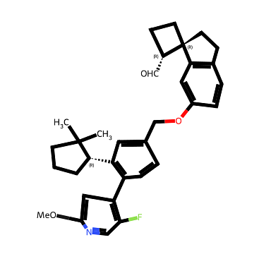 COc1cc(-c2ccc(COc3ccc4c(c3)[C@@]3(CC4)CC[C@H]3C=O)cc2[C@@H]2CCCC2(C)C)c(F)cn1